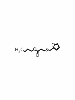 CCCCOC(=O)CCSCc1ccco1